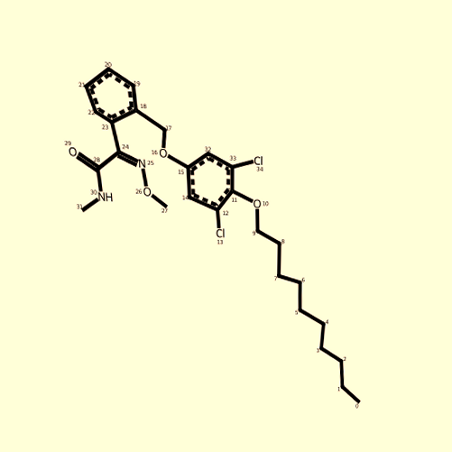 CCCCCCCCCCOc1c(Cl)cc(OCc2ccccc2C(=NOC)C(=O)NC)cc1Cl